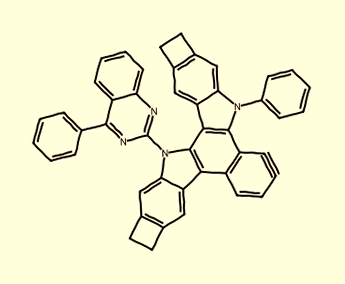 c1ccc2c(c#1)c1c(c3cc4c(cc3n1-c1ccccc1)CC4)c1c2c2cc3c(cc2n1-c1nc(-c2ccccc2)c2ccccc2n1)CC3